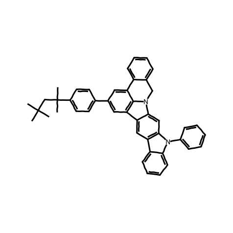 CC(C)(C)CC(C)(C)c1ccc(-c2cc3c4c(c2)c2cc5c6ccccc6n(-c6ccccc6)c5cc2n4Cc2ccccc2-3)cc1